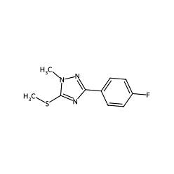 CSc1nc(-c2ccc(F)cc2)nn1C